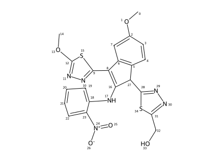 COc1ccc2c(c1)C(c1nnc(OC)s1)=C(Nc1ccccc1[N+](=O)[O-])C2c1nnc(CO)s1